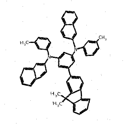 Cc1cccc(N(c2cc(-c3ccc4c(c3)C(C)(C)c3ccccc3-4)cc(N(c3cccc(C)c3)c3ccc4ccccc4c3)c2)c2ccc3ccccc3c2)c1